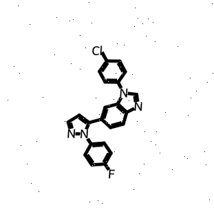 Fc1ccc(-n2nccc2-c2ccc3ncn(-c4ccc(Cl)cc4)c3c2)cc1